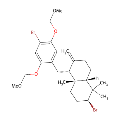 C=C1CC[C@@H]2C(C)(C)[C@@H](Br)CC[C@]2(C)[C@@H]1Cc1cc(OCOC)c(Br)cc1OCOC